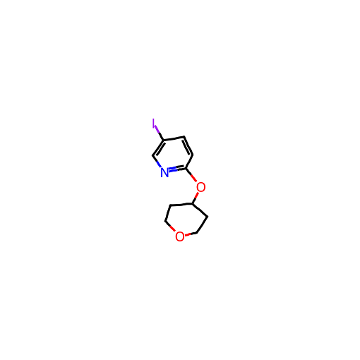 Ic1ccc(OC2CCOCC2)nc1